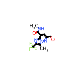 CNC(=O)c1cc(C=O)nn2c(C)c(C(F)(F)F)nc12